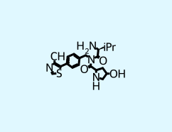 Cc1ncsc1-c1ccc(CN(C(=O)C2CC(O)CN2)C(=O)[C@@H](N)C(C)C)cc1